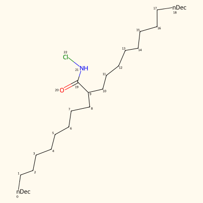 CCCCCCCCCCCCCCCCCCC(CCCCCCCCCCCCCCCCCC)C(=O)NCl